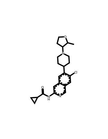 CC1OCCC1N1CCC(c2cc3cc(NC(=O)C4CC4)ncc3cc2Cl)CC1